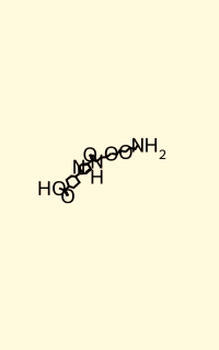 NCCOCCOCCNC(=O)c1ccc(C2CCC(C(=O)O)CC2)nc1